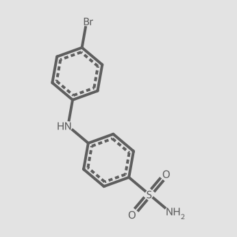 NS(=O)(=O)c1ccc(Nc2ccc(Br)cc2)cc1